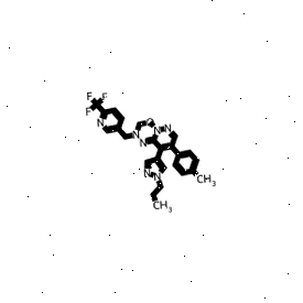 CCCn1cc(C2=C(c3ccc(C)cc3)C=NN3OCN(Cc4ccc(C(F)(F)F)nc4)N=C23)cn1